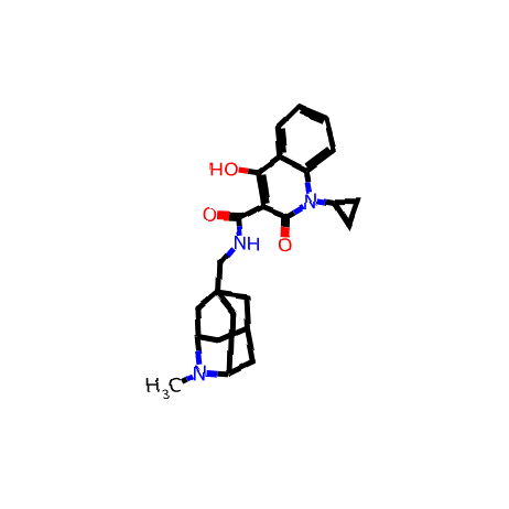 CN1C2CC3CC1CC(CNC(=O)c1c(O)c4ccccc4n(C4CC4)c1=O)(C3)C2